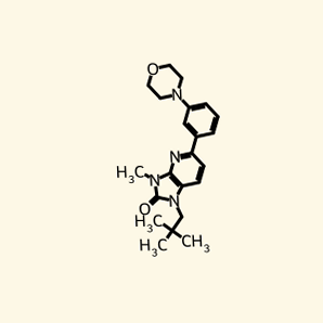 Cn1c(=O)n(CC(C)(C)C)c2ccc(-c3cccc(N4CCOCC4)c3)nc21